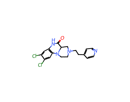 O=C1Nc2cc(Cl)c(Cl)cc2N2CCN(CCc3ccncc3)CC12